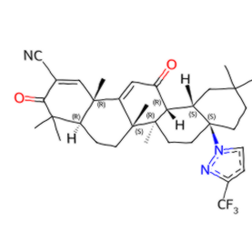 CC1(C)CC[C@]2(n3ccc(C(F)(F)F)n3)CC[C@]3(C)[C@H](C(=O)C=C4[C@@]5(C)C=C(C#N)C(=O)C(C)(C)[C@@H]5CC[C@]43C)[C@@H]2C1